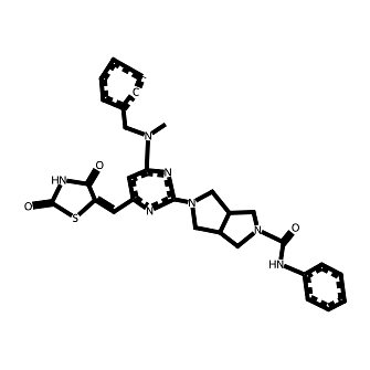 CN(Cc1ccccc1)c1cc(C=C2SC(=O)NC2=O)nc(N2CC3CN(C(=O)Nc4ccccc4)CC3C2)n1